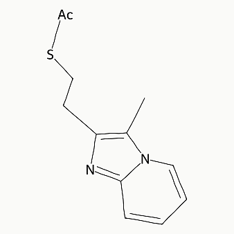 CC(=O)SCCc1nc2ccccn2c1C